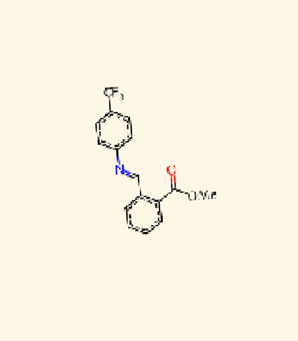 COC(=O)c1ccccc1C=Nc1ccc(C(F)(F)F)cc1